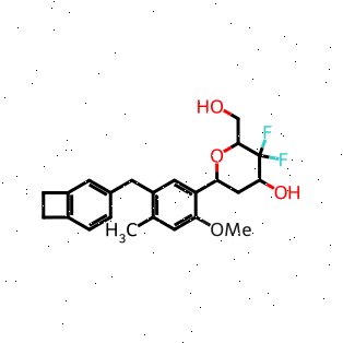 COc1cc(C)c(Cc2ccc3c(c2)CC3)cc1C1CC(O)C(F)(F)C(CO)O1